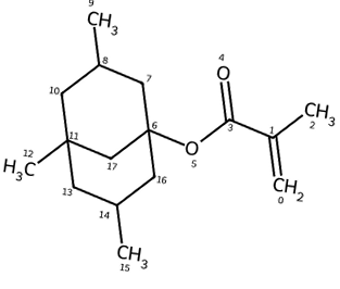 C=C(C)C(=O)OC12CC(C)CC(C)(CC(C)C1)C2